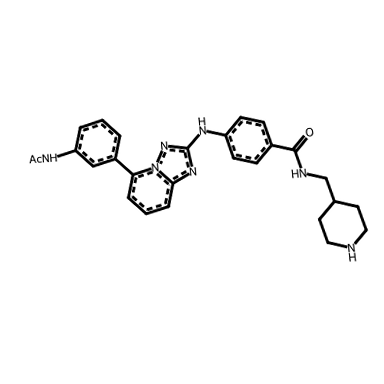 CC(=O)Nc1cccc(-c2cccc3nc(Nc4ccc(C(=O)NCC5CCNCC5)cc4)nn23)c1